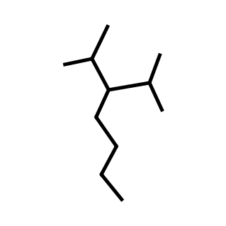 CCCCC([C](C)C)C(C)C